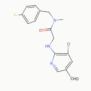 CN(Cc1ccc(F)cc1)C(=O)CNc1ncc(C=O)cc1Cl